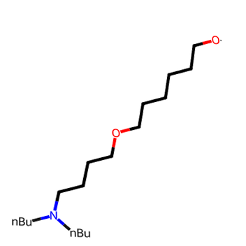 CCCCN(CCCC)CCCCOCCCCCC[O]